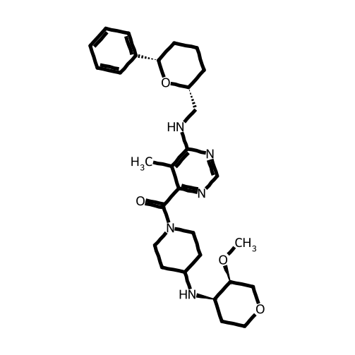 CO[C@H]1COCC[C@H]1NC1CCN(C(=O)c2ncnc(NC[C@H]3CCC[C@@H](c4ccccc4)O3)c2C)CC1